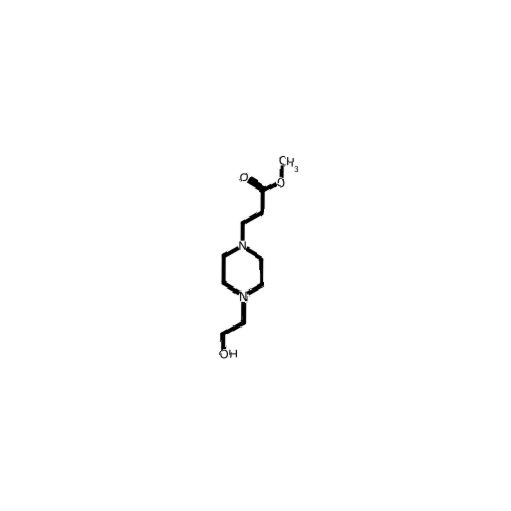 COC(=O)CCN1CCN(CCO)CC1